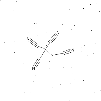 N#CCC(C#N)(C#N)C#N